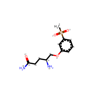 CS(=O)(=O)c1cccc(OC[C@@H](N)CCC(N)=O)c1